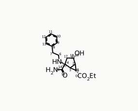 CCOC(=O)[C@H]1C2C1[C@](NCCc1ccccc1)(C(N)=O)C[C@@H]2O